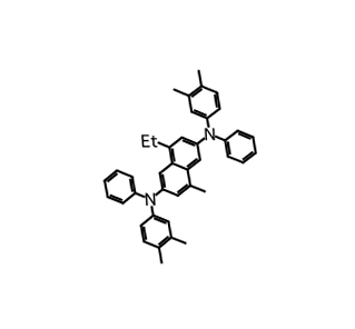 CCc1cc(N(c2ccccc2)c2ccc(C)c(C)c2)cc2c(C)cc(N(c3ccccc3)c3ccc(C)c(C)c3)cc12